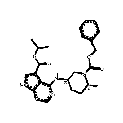 CC(C)OC(=O)c1c[nH]c2ncnc(N[C@@H]3CC[C@H](C)N(C(=O)OCc4ccccc4)C3)c12